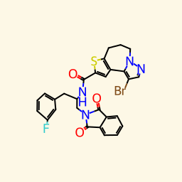 O=C(NC(Cc1cccc(F)c1)CN1C(=O)c2ccccc2C1=O)c1cc2c(s1)CCCn1ncc(Br)c1-2